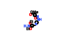 CCOc1cc(CN2CCC(Nc3nc4ccc(C(=O)OC)cc4o3)CC2)cc(OCC)c1N